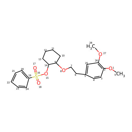 COc1ccc(CCOC2CCCCC2OS(=O)(=O)c2ccccc2)cc1OC